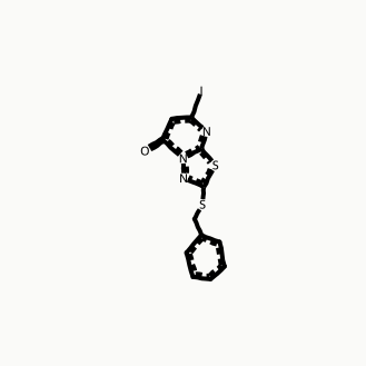 O=c1cc(I)nc2sc(SCc3ccccc3)nn12